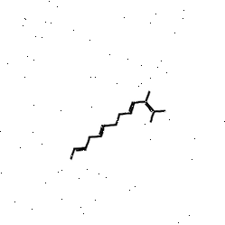 CC=CCC=CCCC=CC(C)=C(C)C